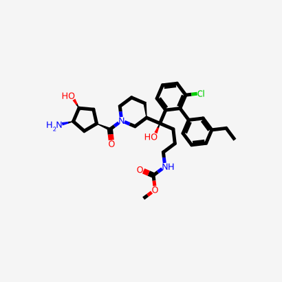 CCc1cccc(-c2c(Cl)cccc2[C@](O)(CCCNC(=O)OC)[C@@H]2CCCN(C(=O)[C@H]3C[C@@H](N)[C@@H](O)C3)C2)c1